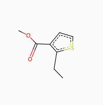 CCc1sccc1C(=O)OC